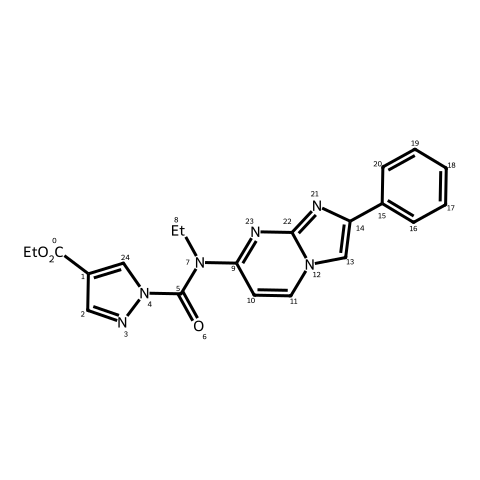 CCOC(=O)c1cnn(C(=O)N(CC)c2ccn3cc(-c4ccccc4)nc3n2)c1